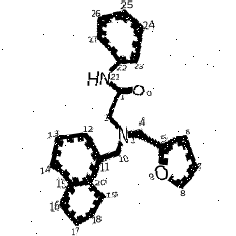 O=C(CN(Cc1ccco1)Cc1cccc2ccccc12)Nc1ccccc1